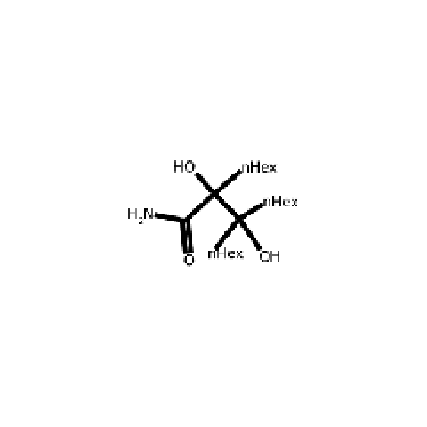 CCCCCCC(O)(CCCCCC)C(O)(CCCCCC)C(N)=O